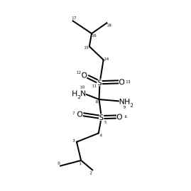 CC(C)CCS(=O)(=O)C(N)(N)S(=O)(=O)CCC(C)C